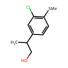 CSc1ccc([C](C)CO)cc1Cl